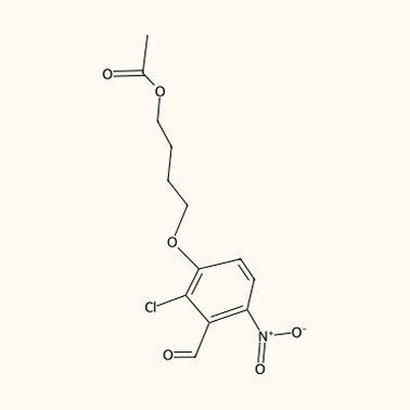 CC(=O)OCCCCOc1ccc([N+](=O)[O-])c(C=O)c1Cl